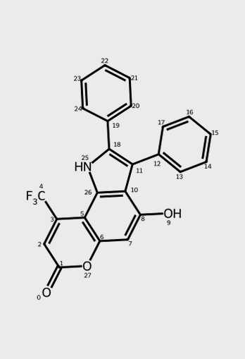 O=c1cc(C(F)(F)F)c2c(cc(O)c3c(-c4ccccc4)c(-c4ccccc4)[nH]c32)o1